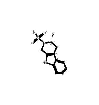 CCS(=O)(=O)N1Cc2[nH]c3ccccc3c2C[C@H]1C